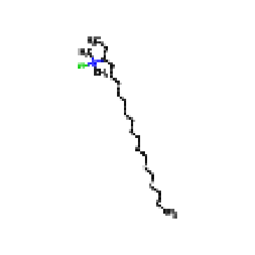 CCCCCCCCCCCCCCCCCC(CC)[N+](C)(C)Cl